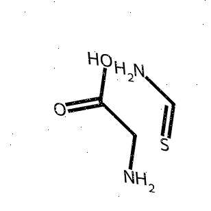 NC=S.NCC(=O)O